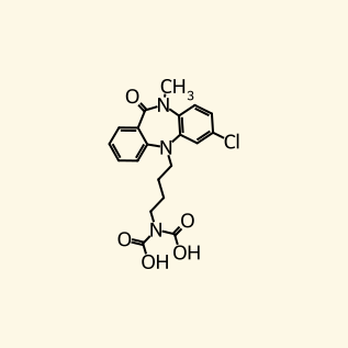 CN1C(=O)c2ccccc2N(CCCCN(C(=O)O)C(=O)O)c2cc(Cl)ccc21